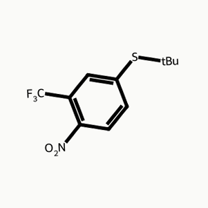 CC(C)(C)Sc1ccc([N+](=O)[O-])c(C(F)(F)F)c1